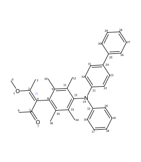 CO/C(C)=C(\C(C)=O)c1c(C)c(C)c(N(c2ccccc2)c2ccc(-c3ccccc3)cc2)c(C)c1C